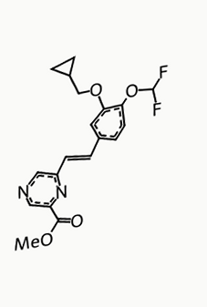 COC(=O)c1cncc(C=Cc2ccc(OC(F)F)c(OCC3CC3)c2)n1